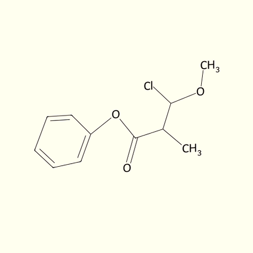 COC(Cl)C(C)C(=O)Oc1ccccc1